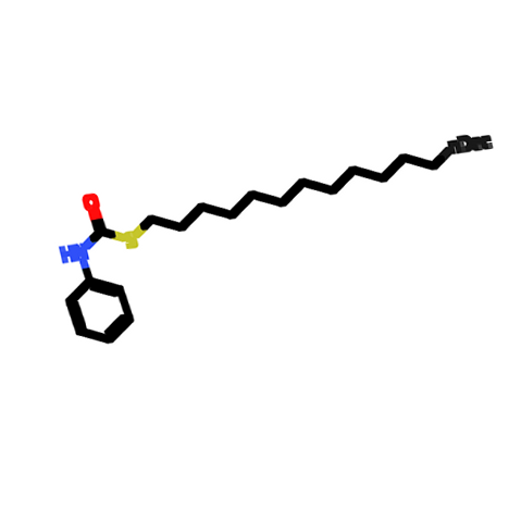 CCCCCCCCCCCCCCCCCCCCCCSC(=O)Nc1ccccc1